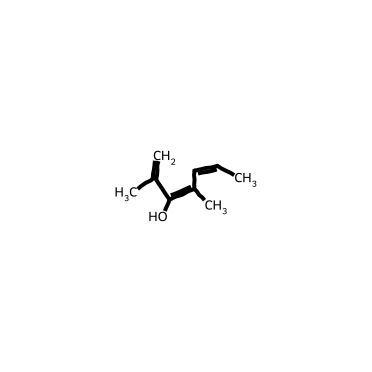 C=C(C)/C(O)=C(C)\C=C/C